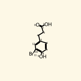 O=C(O)CCc1ccc(O)c(Br)c1